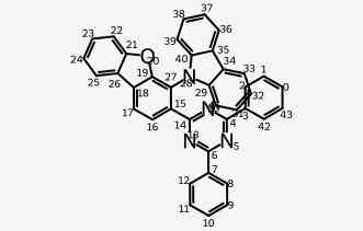 c1ccc(-c2nc(-c3ccccc3)nc(-c3ccc4c(oc5ccccc54)c3-n3c4ccccc4c4ccccc43)n2)cc1